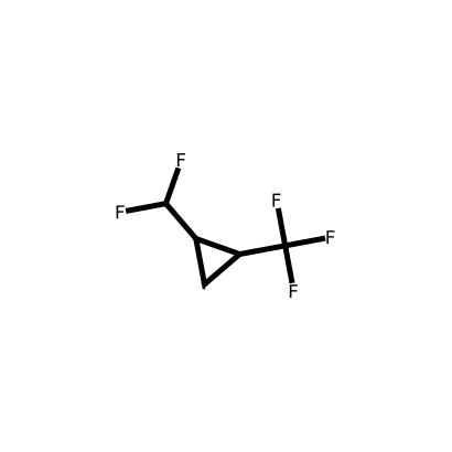 FC(F)C1[CH]C1C(F)(F)F